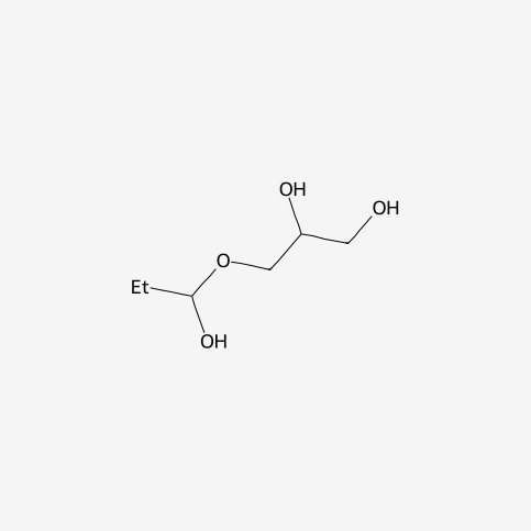 CCC(O)OCC(O)CO